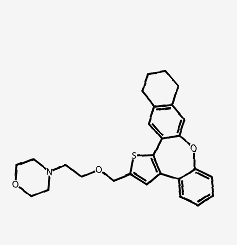 c1ccc2c(c1)Oc1cc3c(cc1-c1sc(COCCN4CCOCC4)cc1-2)CCCC3